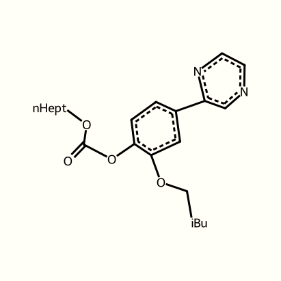 CCCCCCCOC(=O)Oc1ccc(-c2cnccn2)cc1OCC(C)CC